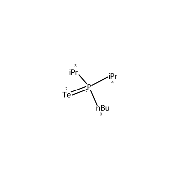 CCCCP(=[Te])(C(C)C)C(C)C